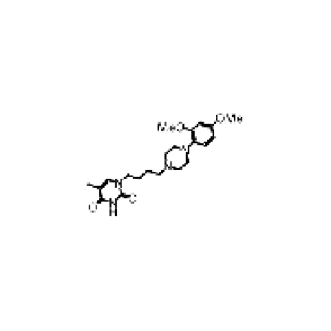 COc1ccc(N2CCN(CCCCn3cc(C)c(=O)[nH]c3=O)CC2)c(OC)c1